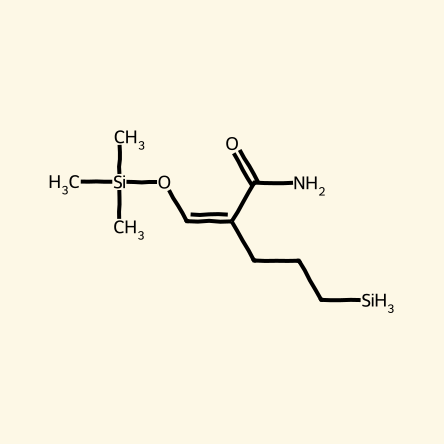 C[Si](C)(C)OC=C(CCC[SiH3])C(N)=O